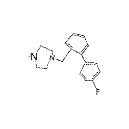 Fc1ccc(-c2ccccc2CN2CC[N]CC2)cc1